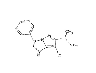 CC(C)c1nn2c(c1Cl)NCN2c1ccccc1